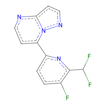 Fc1ccc(-c2ccnc3ccnn23)nc1C(F)F